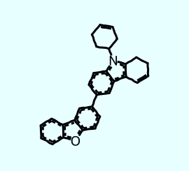 C1=Cc2c(n(C3CC=CCC3)c3ccc(-c4ccc5oc6ccccc6c5c4)cc23)CC1